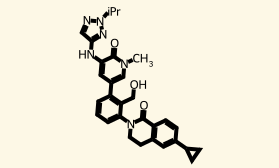 CC(C)n1ncc(Nc2cc(-c3cccc(N4CCc5cc(C6CC6)ccc5C4=O)c3CO)cn(C)c2=O)n1